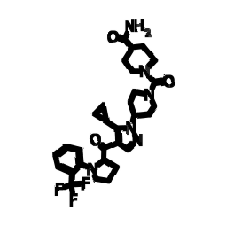 NC(=O)C1CCN(C(=O)N2CCC(n3ncc(C(=O)C4CCCN4c4ccccc4C(F)(F)F)c3C3CC3)CC2)CC1